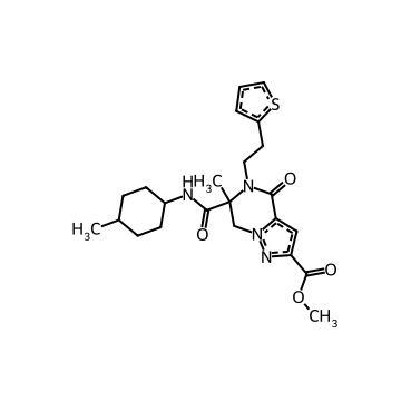 COC(=O)c1cc2n(n1)CC(C)(C(=O)NC1CCC(C)CC1)N(CCc1cccs1)C2=O